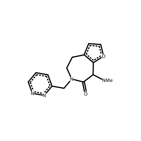 CNC1C(=O)N(Cc2cccnn2)CCc2ccoc21